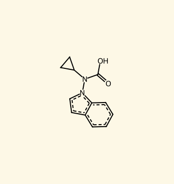 O=C(O)N(C1CC1)n1ccc2ccccc21